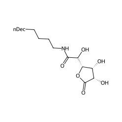 CCCCCCCCCCCCCCNC(=O)C(O)[C@H]1OC(=O)[C@@H](O)[C@H]1O